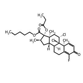 CCCCCOC(=O)[C@]1(OC(=O)CC)[C@H](C)C[C@H]2[C@@H]3CCC4=C(F)C(=O)C=C[C@]4(C)[C@@]3(Cl)[C@@H](Cl)C[C@@]21C